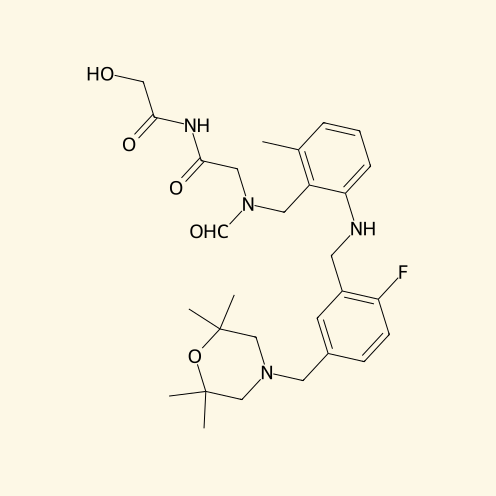 Cc1cccc(NCc2cc(CN3CC(C)(C)OC(C)(C)C3)ccc2F)c1CN(C=O)CC(=O)NC(=O)CO